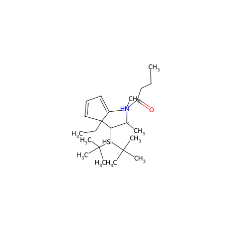 CCCC(=O)N[C](C)C([SiH](C(C)(C)C)C(C)(C)C)C1(CC)C=CC=C1CC